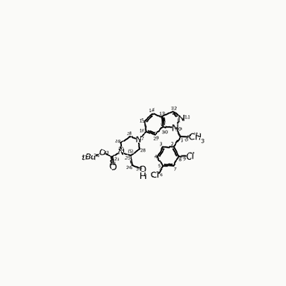 CC(c1ccc(Cl)cc1Cl)n1ncc2ccc(N3CCN(C(=O)OC(C)(C)C)[C@H](CO)C3)cc21